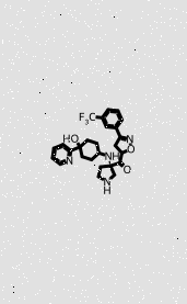 O=C(C1CC(c2cccc(C(F)(F)F)c2)=NO1)[C@]1(NC2CCC(O)(c3ccccn3)CC2)CCNC1